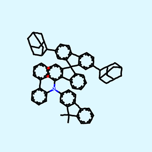 CC1(C)c2ccccc2-c2ccc(N(c3ccccc3-c3ccccc3)c3cccc4c3-c3ccccc3C43c4cc(C5C6CC7CC(C6)CC5C7)ccc4-c4ccc(C5C6CC7CC(C6)CC5C7)cc43)cc21